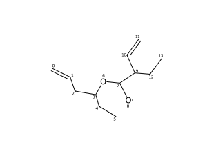 C=CCC(CC)OC([O])C(C=C)CC